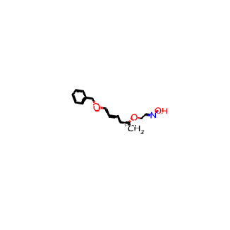 C[C@@H](CC=CCOCc1ccccc1)OCC=NO